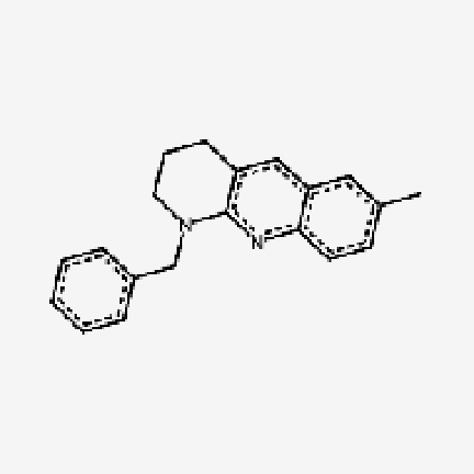 Cc1ccc2nc3c(cc2c1)CCCN3Cc1ccccc1